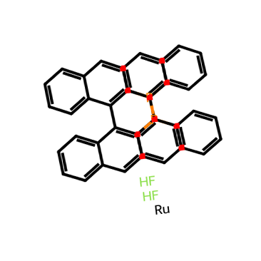 F.F.[Ru].c1ccc(P(c2ccccc2)c2ccc3ccccc3c2-c2c(P(c3ccccc3)c3ccccc3)ccc3ccccc23)cc1